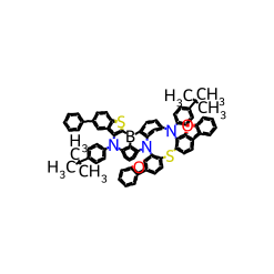 CC(C)(C)c1ccc(N2c3cccc4c3B(c3ccc5cc3N4c3c(ccc4c3oc3ccccc34)Sc3ccc4c(oc6ccccc64)c3N5c3ccc(C(C)(C)C)cc3)c3sc4ccc(-c5ccccc5)cc4c32)cc1